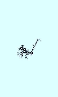 CCC(C)[C@H](NC(=O)Cc1ccccc1OCCOCCOCCOCCOC)C(=O)N[C@@]1(OC(=O)NC(C(N)=O)[C@@H](C)CC)CCc2[nH]c3c(Cl)cc(Cl)cc3c2C1